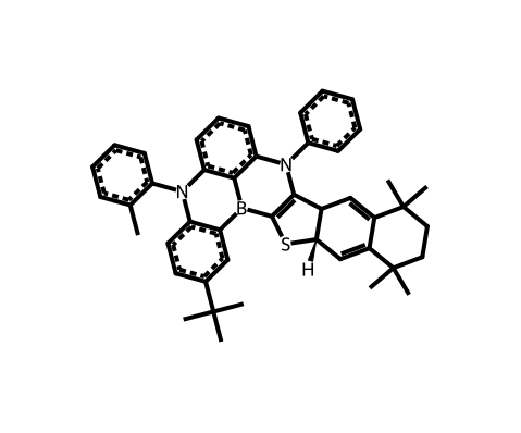 Cc1ccccc1N1c2ccc(C(C)(C)C)cc2B2C3=C(C4C=C5C(=C[C@@H]4S3)C(C)(C)CCC5(C)C)N(c3ccccc3)c3cccc1c32